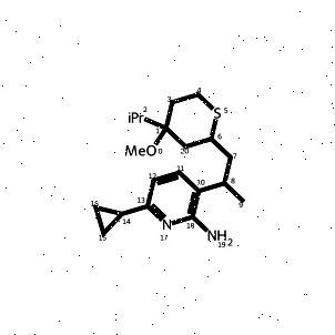 COC1(C(C)C)CCSC(CC(C)c2ccc(C3CC3)nc2N)C1